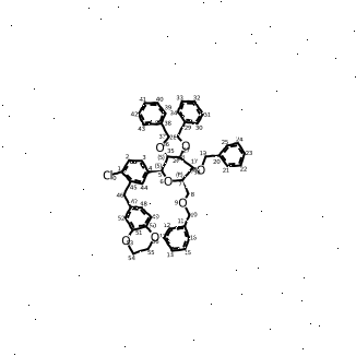 Clc1ccc([C@@H]2O[C@H](COCc3ccccc3)[C@@H](OCc3ccccc3)[C@H](OCc3ccccc3)[C@H]2OCc2ccccc2)cc1Cc1ccc2c(c1)OCCO2